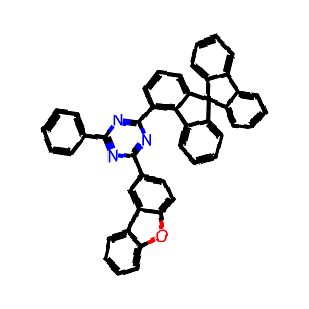 c1ccc(-c2nc(-c3ccc4oc5ccccc5c4c3)nc(-c3cccc4c3-c3ccccc3C43c4ccccc4-c4ccccc43)n2)cc1